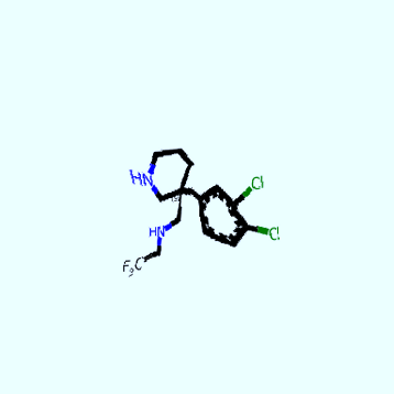 FC(F)(F)CNC[C@]1(c2ccc(Cl)c(Cl)c2)CCCNC1